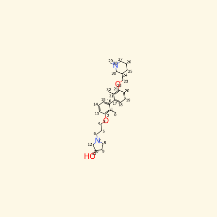 Cc1c(OCCCN2CC[C@@H](O)C2)cccc1-c1cccc(OCC2CCCN(C)C2)c1C